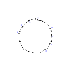 [C]1=C/C=C\C=C/C=C\C=C/C=C\C=C/C=C\C=C/CCCCCCCC\1